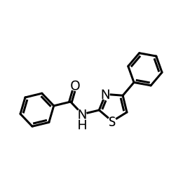 O=C(Nc1nc(-c2ccccc2)cs1)c1ccccc1